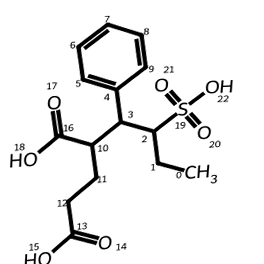 CCC(C(c1ccccc1)C(CCC(=O)O)C(=O)O)S(=O)(=O)O